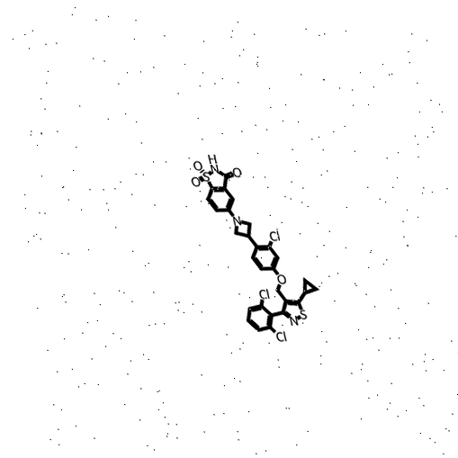 O=C1NS(=O)(=O)c2ccc(N3CC(c4ccc(OCc5c(-c6c(Cl)cccc6Cl)nsc5C5CC5)cc4Cl)C3)cc21